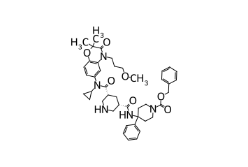 COCCCN1C(=O)C(C)(C)Oc2ccc(N(C(=O)[C@H]3CNC[C@@H](C(=O)NC4(c5ccccc5)CCN(C(=O)OCc5ccccc5)CC4)C3)C3CC3)cc21